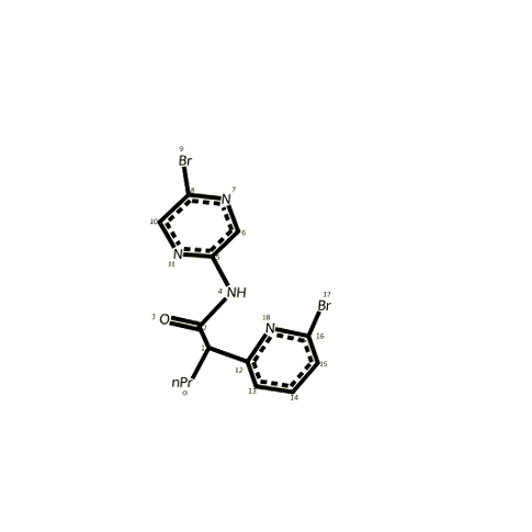 CCCC(C(=O)Nc1cnc(Br)cn1)c1cccc(Br)n1